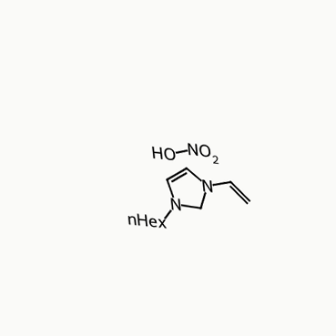 C=CN1C=CN(CCCCCC)C1.O=[N+]([O-])O